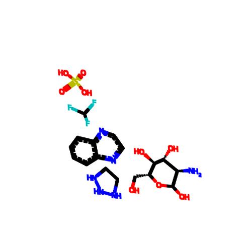 C1CNNN1.FC(F)F.N[C@H]1C(O)O[C@H](CO)[C@@H](O)[C@@H]1O.O=S(=O)(O)O.c1ccc2nccnc2c1